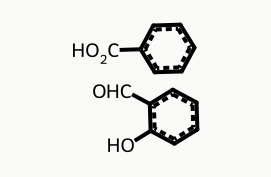 O=C(O)c1ccccc1.O=Cc1ccccc1O